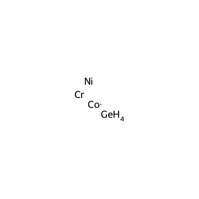 [Co].[Cr].[GeH4].[Ni]